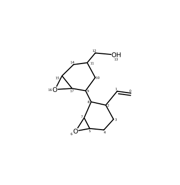 C=CC1CCC2OC2C1C1CC(CO)CC2OC21